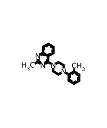 Cc1nc(N2CCN(c3ccccc3C)CC2)c2ccccc2n1